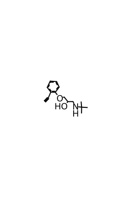 C#Cc1ccccc1OCC(O)CNC(C)(C)C